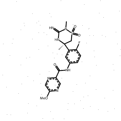 COc1cnc(C(=O)Nc2ccc(F)c([C@]3(C)CS(=O)(=O)N(C)C(=N)N3)c2)cn1